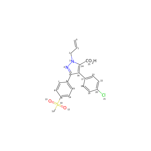 C=CCn1nc(-c2ccc(S(C)(=O)=O)cc2)c(-c2ccc(Cl)cc2)c1C(=O)O